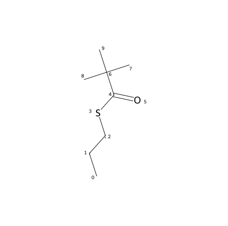 CC[CH]SC(=O)C(C)(C)C